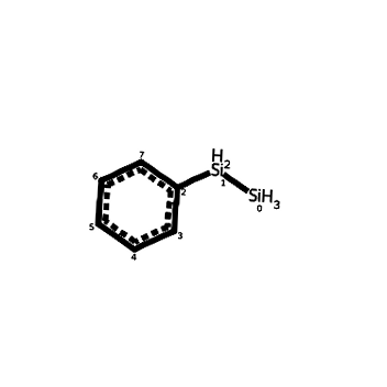 [SiH3][SiH2]c1ccccc1